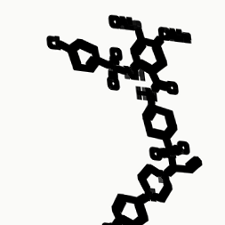 C=CC(N1CCN(c2ccc(Cl)cc2)CC1)S(=O)(=O)c1ccc(NC(=O)c2cc(OC)c(OC)cc2NS(=O)(=O)c2ccc(Cl)cc2)cc1